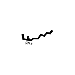 C=CCCCCCC[C@](C)(C=C)NC